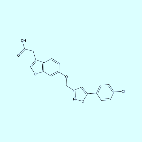 O=C(O)Cc1coc2cc(OCc3cc(-c4ccc(Cl)cc4)on3)ccc12